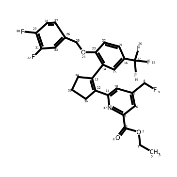 CCOC(=O)c1cc(CF)cc(C2=C(c3cc(C(F)(F)F)ccc3OCc3ccc(F)c(F)c3)CCC2)n1